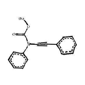 CC(C)(C)OC(=O)N(C#Cc1ccccc1)c1ccccc1